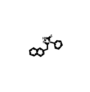 S=c1[nH]nc(Cc2ccc3ccccc3c2)n1-c1ccccc1